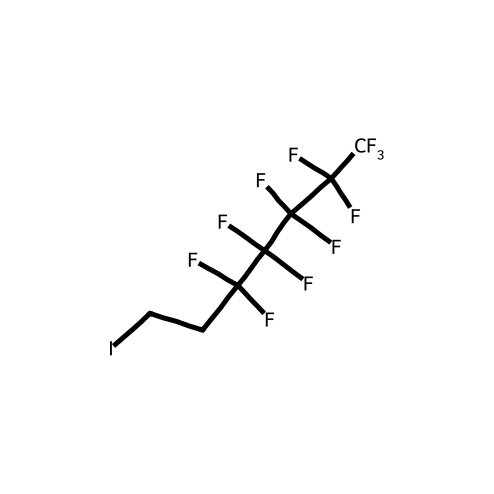 FC(F)(F)C(F)(F)C(F)(F)C(F)(F)C(F)(F)CCI